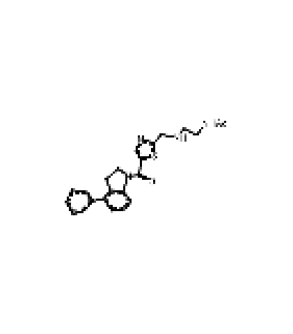 CC(=O)NCCNCc1ncc(C(=O)N2CCc3c(-c4ccccc4)cccc32)s1